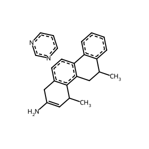 CC1C=C(N)Cc2ccc3c(c21)CC(C)c1ccccc1-3.c1cncnc1